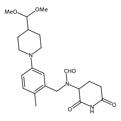 COC(OC)C1CCN(c2ccc(C)c(CN(C=O)C3CCC(=O)NC3=O)c2)CC1